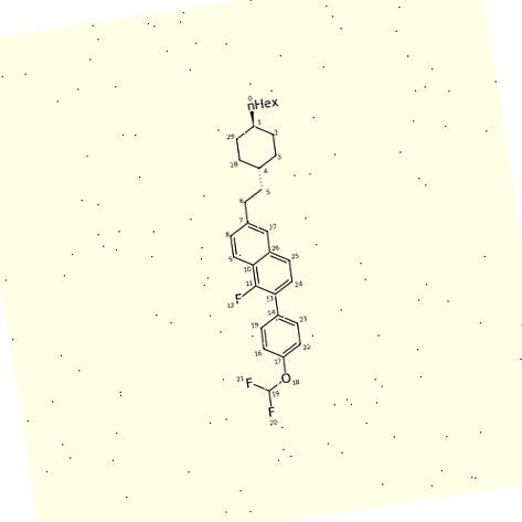 CCCCCC[C@H]1CC[C@H](CCc2ccc3c(F)c(-c4ccc(OC(F)F)cc4)ccc3c2)CC1